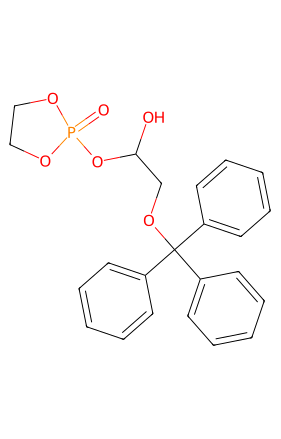 O=P1(OC(O)COC(c2ccccc2)(c2ccccc2)c2ccccc2)OCCO1